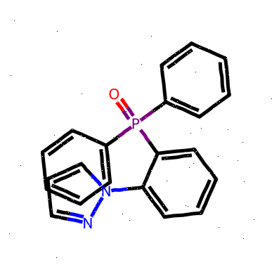 O=P(c1ccccc1)(c1ccccc1)c1ccccc1-n1cccn1